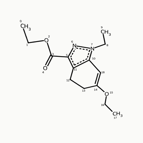 CCOC(=O)c1nn(CC)c2c1CCC(OCC)=C2